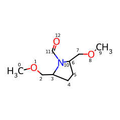 COCC1CCC(COC)N1[C]=O